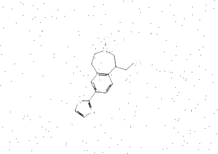 CC(C)CC1CN(C(=O)O)CCc2cc(-c3nccs3)ccc21